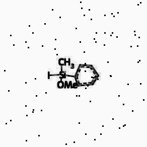 CO[Si](C)(I)c1ccccc1